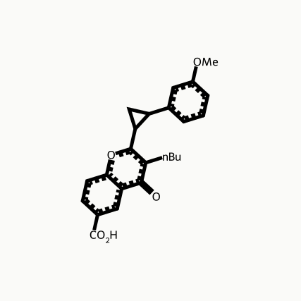 CCCCc1c(C2CC2c2cccc(OC)c2)oc2ccc(C(=O)O)cc2c1=O